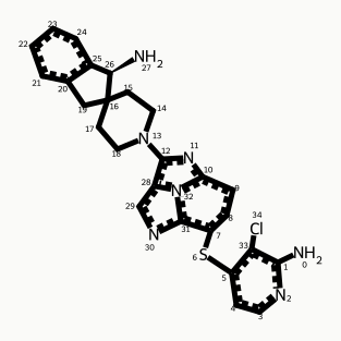 Nc1nccc(Sc2ccc3nc(N4CCC5(CC4)Cc4ccccc4[C@H]5N)c4cnc2n34)c1Cl